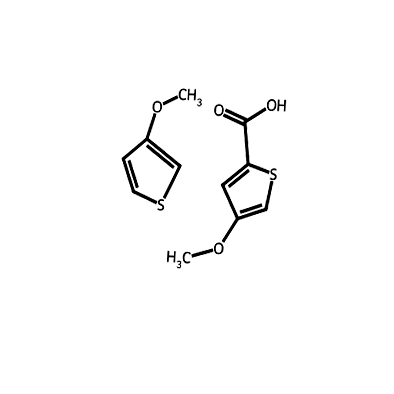 COc1ccsc1.COc1csc(C(=O)O)c1